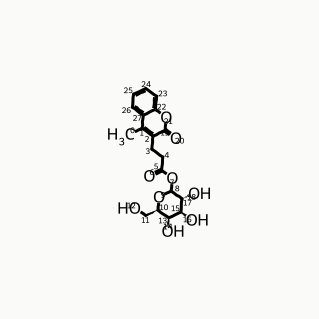 Cc1c(CCC(=O)OC2O[C@H](CO)[C@H](O)[C@H](O)[C@H]2O)c(=O)oc2ccccc12